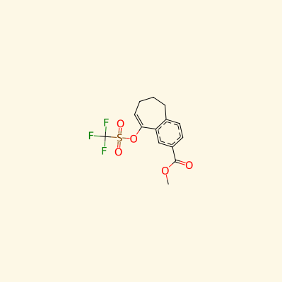 COC(=O)c1ccc2c(c1)C(OS(=O)(=O)C(F)(F)F)=CCCC2